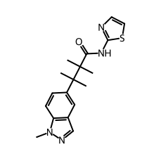 Cn1ncc2cc(C(C)(C)C(C)(C)C(=O)Nc3nccs3)ccc21